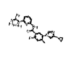 Cc1cc(F)c(C(=O)Nc2cccc(N3NNN=C3C(C)C)n2)cc1-n1cnc(C2CC2)c1